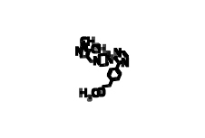 COCCc1ccc(-c2nccnc2N2CCN(Cc3cnn(C)c3C)CC2)cc1